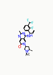 C=C[C@@H](Nc1nc(C)nc2cc(=O)n(C3C[C@@H](C)N(C(C)=O)C3)cc12)c1cccc(C(F)F)c1F